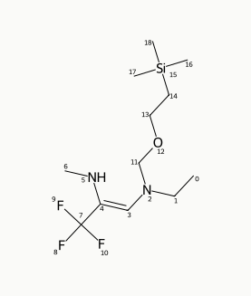 CCN(/C=C(\NC)C(F)(F)F)COCC[Si](C)(C)C